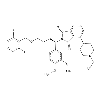 CCN1CCN(c2cccc3c2C(=O)N([C@H](CCCOCc2c(F)cccc2F)c2ccc(OC)c(OC)c2)C3=O)CC1